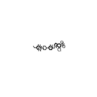 CCc1cnc(N2CCC(c3ccc(Cn4ccc5cc(S(C)(=O)=O)cc(Cl)c54)nc3)CC2)nc1